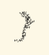 CC(C)NC(=O)CC[C@@H](C)[C@H]1CCC2C3C(C[C@H](O)[C@@]21C)[C@@]1(C)CC[C@H](NCCCN2CCN(CCCN)CC2)CC1C[C@H]3O